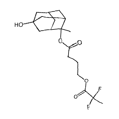 CC(F)(F)C(=O)OCCCC(=O)OC1(C)C2CC3CC1CC(O)(C3)C2